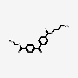 CCCCOC(=O)c1ccc(C(=O)c2ccc(C(=O)OCC)cc2)cc1